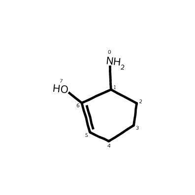 NC1CCCC=C1O